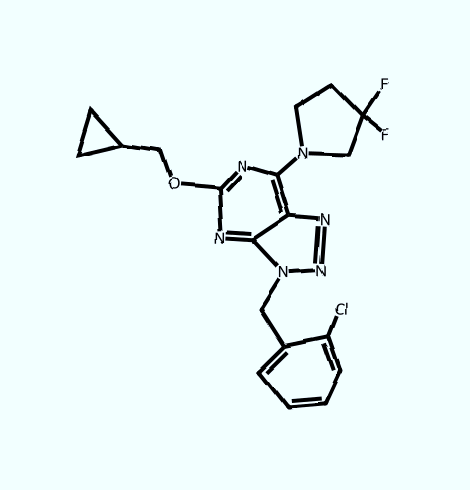 FC1(F)CCN(c2nc(OCC3CC3)nc3c2nnn3Cc2ccccc2Cl)C1